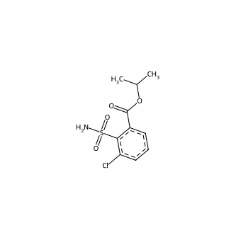 CC(C)OC(=O)c1cccc(Cl)c1S(N)(=O)=O